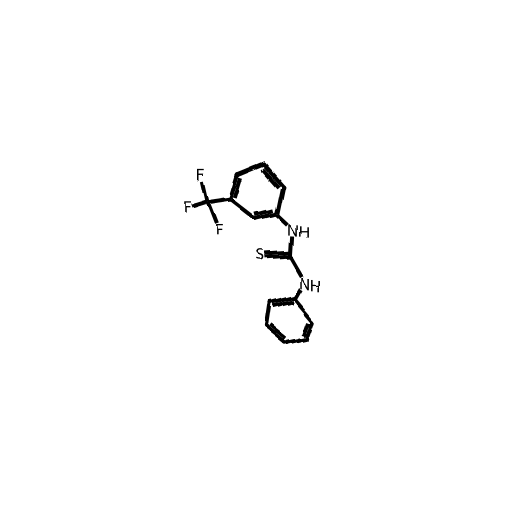 FC(F)(F)c1cccc(NC(=S)Nc2ccccc2)c1